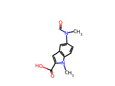 CN([C]=O)c1ccc2c(c1)cc(C(=O)O)n2C